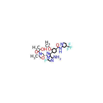 CCOc1cc(C(=O)Nc2cc(C(F)(F)F)ccn2)ccc1-c1nc([C@H]2CN(C(=O)[C@H](C)O)[C@@H](C)CO2)n2c(F)cnc(N)c12